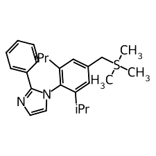 CC(C)c1cc(CS(C)(C)C)cc(C(C)C)c1-n1ccnc1-c1ccccc1